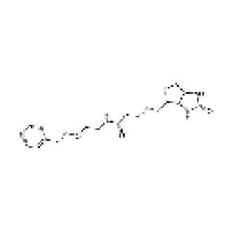 O=C(CCCCC1SCC2NC(=O)NC21)NCCOCCc1ccncc1